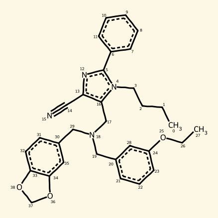 CCCCn1c(-c2ccccc2)nc(C#N)c1CN(Cc1cccc(OCC)c1)Cc1ccc2c(c1)OCO2